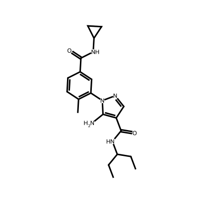 CCC(CC)NC(=O)c1cnn(-c2cc(C(=O)NC3CC3)ccc2C)c1N